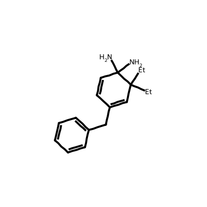 CCC1(CC)C=C(Cc2ccccc2)C=CC1(N)N